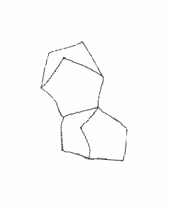 C1CC23CC1CC2C1CCC3C1